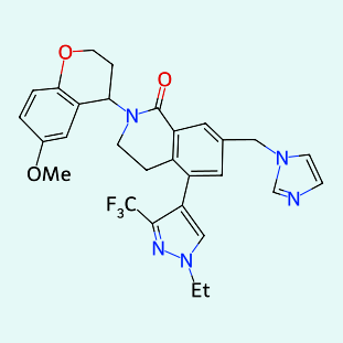 CCn1cc(-c2cc(Cn3ccnc3)cc3c2CCN(C2CCOc4ccc(OC)cc42)C3=O)c(C(F)(F)F)n1